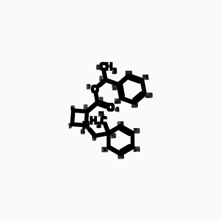 CC(OC(=O)C1CCN1CC1(C)C=CC=CC1)c1ccccc1